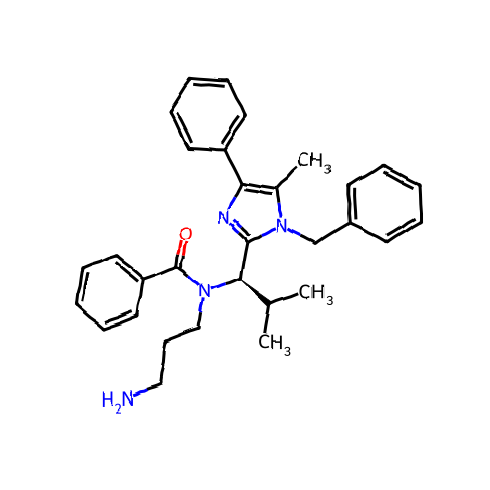 Cc1c(-c2ccccc2)nc([C@@H](C(C)C)N(CCCN)C(=O)c2ccccc2)n1Cc1ccccc1